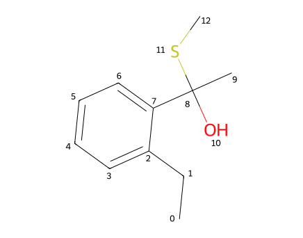 CCc1ccccc1C(C)(O)SC